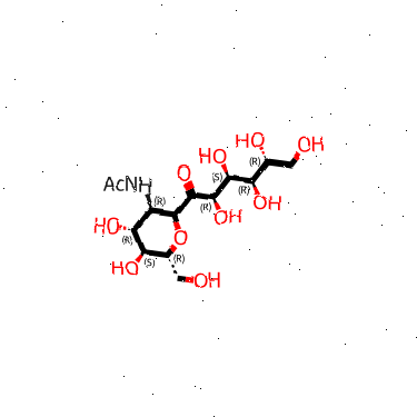 CC(=O)N[C@H]1C(C(=O)[C@H](O)[C@@H](O)[C@H](O)[C@H](O)CO)O[C@H](CO)[C@@H](O)[C@@H]1O